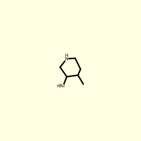 CCCCC1CNCCC1C